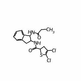 CCC(=O)NC1c2ccccc2CC1NC(=O)C1CC(Cl)=C(Cl)S1